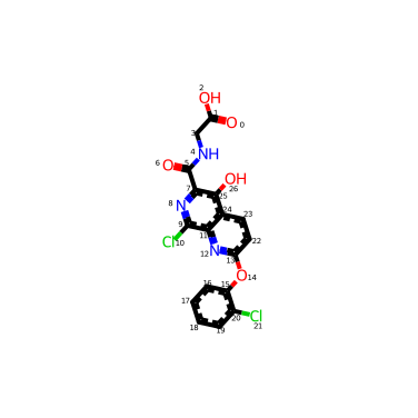 O=C(O)CNC(=O)c1nc(Cl)c2nc(Oc3ccccc3Cl)ccc2c1O